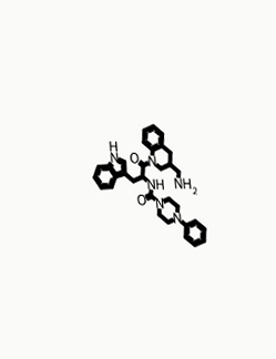 NCC1Cc2ccccc2N(C(=O)C(Cc2c[nH]c3ccccc23)NC(=O)N2CCN(c3ccccc3)CC2)C1